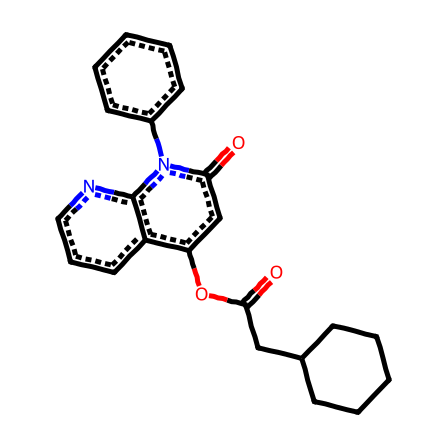 O=C(CC1CCCCC1)Oc1cc(=O)n(-c2ccccc2)c2ncccc12